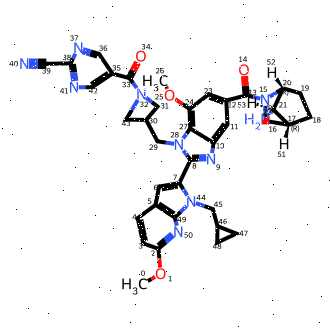 COc1ccc2cc(-c3nc4cc(C(=O)N5C[C@H]6CC[C@@H]5[C@@H]6N)cc(OC)c4n3CC3CN(C(=O)c4cnc(C#N)nc4)C3)n(CC3CC3)c2n1